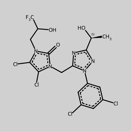 C[C@H](O)c1nc(Cn2c(Cl)c(Cl)n(CC(O)C(F)(F)F)c2=O)n(-c2cc(Cl)cc(Cl)c2)n1